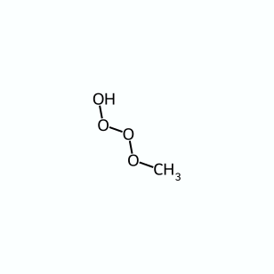 COOOO